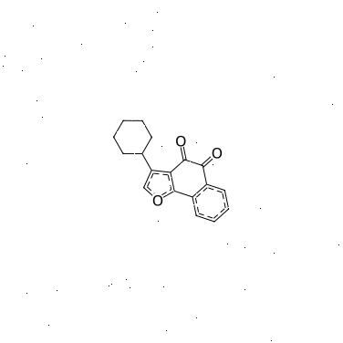 O=C1C(=O)c2c(C3CCCCC3)coc2-c2ccccc21